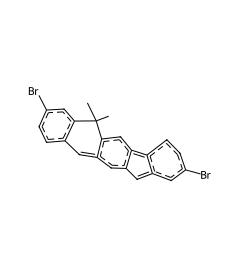 CC1(C)c2cc(Br)ccc2C=c2cc3c(cc21)=c1ccc(Br)cc1=C3